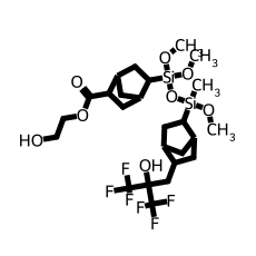 CO[Si](C)(O[Si](OC)(OC)C1CC2CC1CC2C(=O)OCCO)C1CC2CC1CC2CC(O)(C(F)(F)F)C(F)(F)F